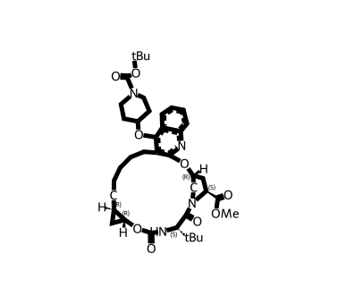 COC(=O)[C@@H]1C[C@@H]2CN1C(=O)[C@H](C(C)(C)C)NC(=O)O[C@@H]1C[C@H]1CCCCCc1c(nc3ccccc3c1OC1CCN(C(=O)OC(C)(C)C)CC1)O2